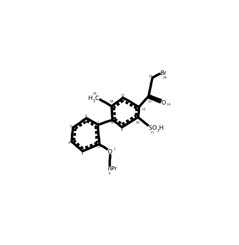 CCCOc1ccccc1-c1cc(S(=O)(=O)O)c(C(=O)CBr)cc1C